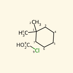 CC1(C)CCCCC1.O=C(O)Cl